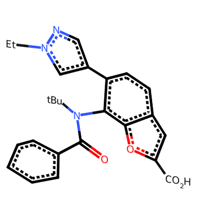 CCn1cc(-c2ccc3cc(C(=O)O)oc3c2N(C(=O)c2ccccc2)C(C)(C)C)cn1